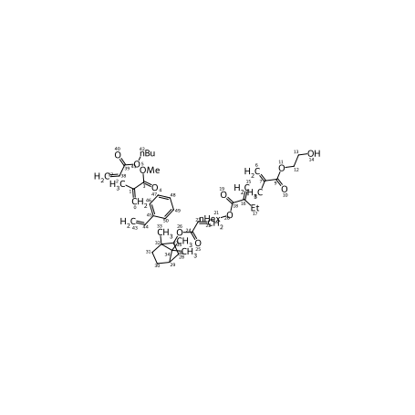 C=C(C)C(=O)OC.C=C(C)C(=O)OCCO.C=C(CC)C(=O)OCCCCCC.C=CC(=O)OC1CC2CCC1(C)C2(C)C.C=CC(=O)OCCCC.C=Cc1ccccc1